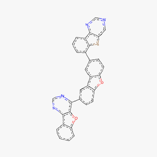 c1ccc2c(c1)oc1c(-c3ccc4oc5ccc(-c6cccc7c6sc6cncnc67)cc5c4c3)ncnc12